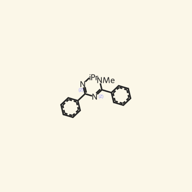 CN/C(=N\C(=N/C(C)C)c1ccccc1)c1ccccc1